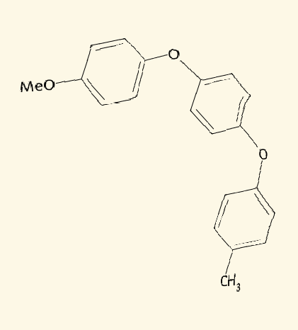 COc1ccc(Oc2ccc(Oc3ccc(C)cc3)cc2)cc1